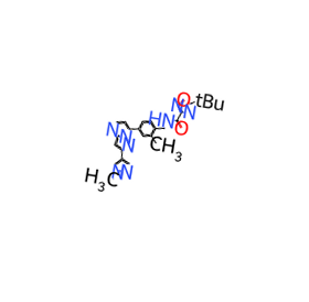 Cc1cc(-c2ccnc3cc(-c4cnn(C)c4)nn23)ccc1CNC(=O)c1noc(C(C)(C)C)n1